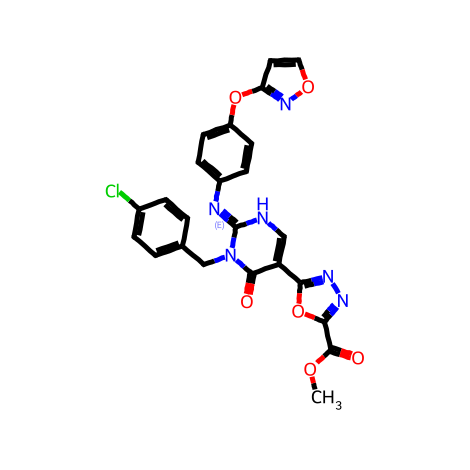 COC(=O)c1nnc(-c2c[nH]/c(=N\c3ccc(Oc4ccon4)cc3)n(Cc3ccc(Cl)cc3)c2=O)o1